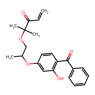 C=CC(=O)C(C)(C)OCC(C)Oc1ccc(C(=O)c2ccccc2)c(O)c1